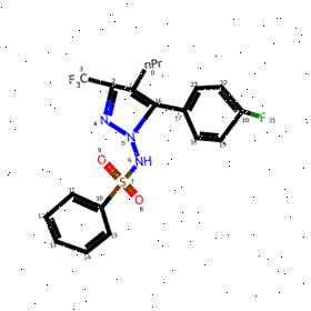 CCCc1c(C(F)(F)F)nn(NS(=O)(=O)c2ccccc2)c1-c1ccc(F)cc1